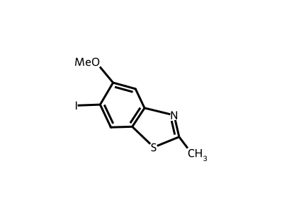 COc1cc2nc(C)sc2cc1I